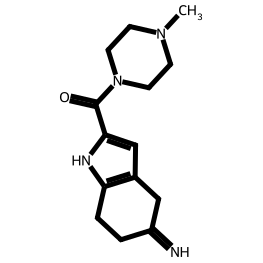 CN1CCN(C(=O)c2cc3c([nH]2)CCC(=N)C3)CC1